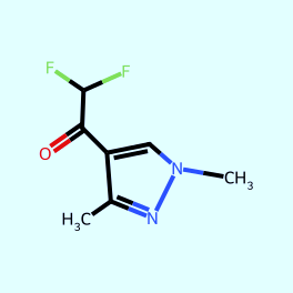 Cc1nn(C)cc1C(=O)C(F)F